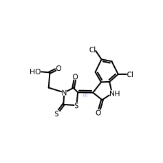 O=C(O)CN1C(=O)/C(=C2/C(=O)Nc3c(Cl)cc(Cl)cc32)SC1=S